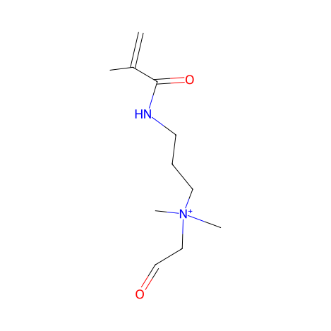 C=C(C)C(=O)NCCC[N+](C)(C)CC=O